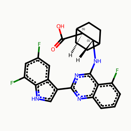 O=C(O)[C@H]1C2CCC(CC2)[C@@H]1Nc1nc(-c2c[nH]c3c(F)cc(F)cc23)nc2cccc(F)c12